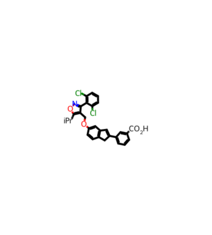 CC(C)c1onc(-c2c(Cl)cccc2Cl)c1COc1ccc2c(c1)C=C(c1cccc(C(=O)O)c1)C2